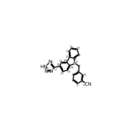 N#Cc1cccc(Cn2c3ccccc3c3cc(-c4nn[nH]n4)ccc32)c1